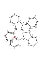 c1ccc(-n2c3ccccc3c3c4ncncc4c4c5ccccc5n(-c5cnccn5)c4c32)cc1